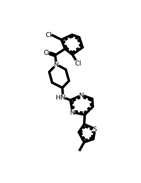 Cc1csc(-c2ccnc(NC3CCN(C(=O)c4c(Cl)cccc4Cl)CC3)n2)c1